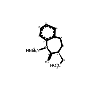 NN1C(=O)[C@H](CC(=O)O)CCc2ccccc21.[NaH]